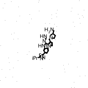 CC(C)c1nnc(-c2cccc(N/C(=N/C=N)c3[nH]ccc3CN3CCC(CN)C3)c2)s1